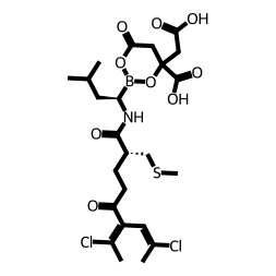 CSC[C@H](CCC(=O)C(/C=C(\C)Cl)=C(/C)Cl)C(=O)N[C@@H](CC(C)C)B1OC(=O)CC(CC(=O)O)(C(=O)O)O1